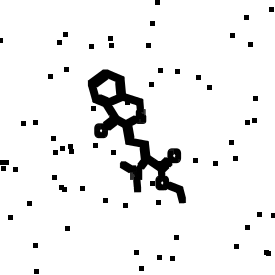 CCOC(=O)C(=CC=C1SCc2ccccc2C1=O)N(C)C